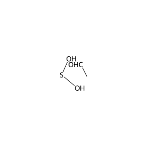 CC=O.OSO